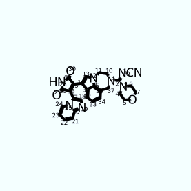 N#C/N=C(\N1CCOCC1)N1CCn2cc(C3=C(c4cnc5ccccn45)C(=O)NC3=O)c3cccc(c32)C1